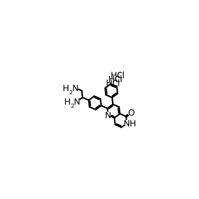 Cl.Cl.Cl.NCC(N)c1ccc(-c2nc3cc[nH]c(=O)c3cc2-c2ccccc2)cc1